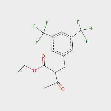 CCOC(=O)C(Cc1cc(C(F)(F)F)cc(C(F)(F)F)c1)C(C)=O